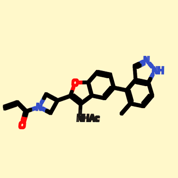 C=CC(=O)N1CC(C2=C(NC(C)=O)C3C=C(c4c(C)ccc5[nH]ncc45)C=CC3O2)C1